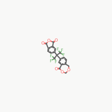 O=C1OCOCc2ccc(C(c3ccc4c(c3)C(=O)OC4=O)(C(F)(F)F)C(F)(F)F)cc21